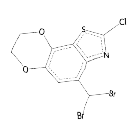 Clc1nc2c(C(Br)Br)cc3c(c2s1)OCCO3